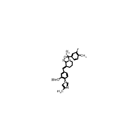 COc1cc(/C=C2\CCCN3C2=NOC3(C)c2ccc(C)c(F)c2)ccc1-n1cnc(C)c1